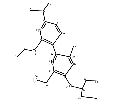 CCOc1nc(C(C)C)ccc1-c1nc(CN)c(OC(CC)CC)cc1C